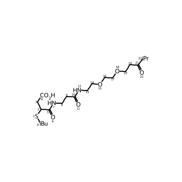 CCC(C)SC(CC(=O)O)C(=O)NCCC(=O)NCCOCCOCCC(=O)C(C)C